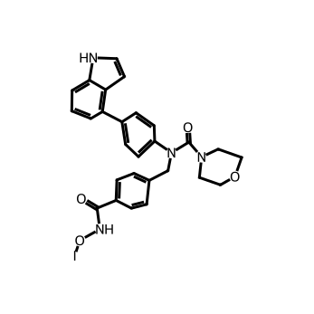 O=C(NOI)c1ccc(CN(C(=O)N2CCOCC2)c2ccc(-c3cccc4[nH]ccc34)cc2)cc1